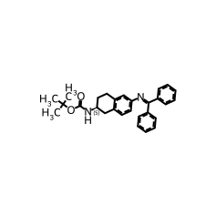 CC(C)(C)OC(=O)N[C@H]1CCc2cc(N=C(c3ccccc3)c3ccccc3)ccc2C1